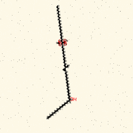 CCCCCCCCCCCCCCCCCCCCCCCCC(C(=O)OC)[C@@H](CCCCCCCCCCCCCCC(CC)[C@@H]1C[C@@H]1CCCCCCCCCCCCCCCCCC[C@H](O)[C@@H](C)CCCCCCCCCCCCCCCCCC)OC(C)=O